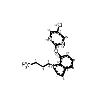 FC(F)(F)CCCn1ccc2cccc(Oc3ncc(Cl)cn3)c21